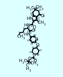 CCCCC(NC(=O)c1[nH]c2c(c1C)C(=O)CC(C)(C)C2)C(=O)Nc1ccc(OC2CCN(C(=O)OC(C)(C)C)CC2)nc1